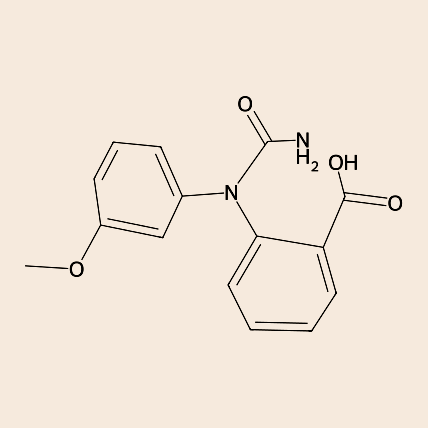 COc1cccc(N(C(N)=O)c2ccccc2C(=O)O)c1